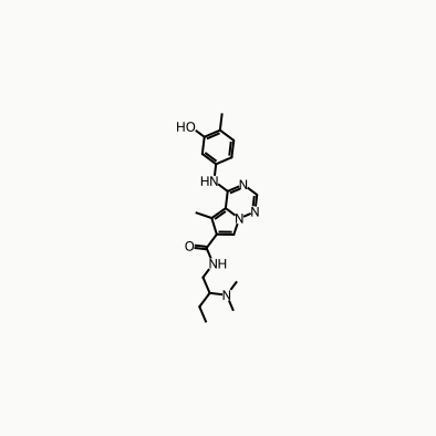 CCC(CNC(=O)c1cn2ncnc(Nc3ccc(C)c(O)c3)c2c1C)N(C)C